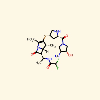 CC(NC(=O)C(F)F)[C@H]1C(=O)N2C(C(=O)O)=C(S[C@@H]3CN[C@H](C(=O)N4C[C@@H](O)[C@@H](N)C4)C3)[C@H](C)[C@H]12